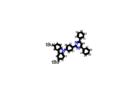 CC(C)(C)c1ccc2c(c1)c1cc(C(C)(C)C)ccc1n2-c1ccc(-c2nc(-c3ccccc3)cc(-c3ccccc3)n2)cc1